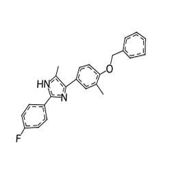 Cc1cc(-c2nc(-c3ccc(F)cc3)[nH]c2C)ccc1OCc1ccccc1